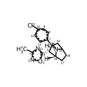 Cc1noc([C@@H]2[C@@H](c3ccc(Cl)cc3)CC3CC[C@H]2N3C)n1